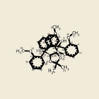 COc1ccccc1C(O)(c1ccccc1OC)[C@@H]1OC(C)(C)O[C@H]1C(O)(c1ccccc1OC)c1ccccc1OC